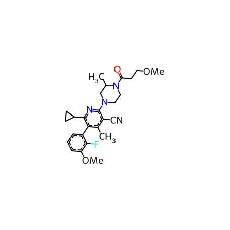 COCCC(=O)N1CCN(c2nc(C3CC3)c(-c3cccc(OC)c3F)c(C)c2C#N)CC1C